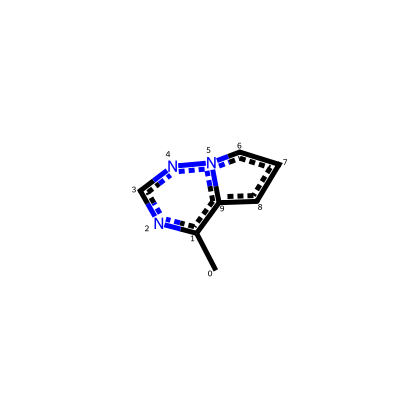 Cc1ncnn2cccc12